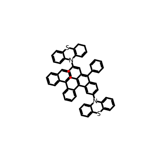 C1=CC2=C(CC1)Sc1ccccc1N2c1ccc2c(-c3ccccc3-c3cccc4ccccc34)c3cc(N4c5ccccc5Sc5ccccc54)ccc3c(-c3ccccc3)c2c1